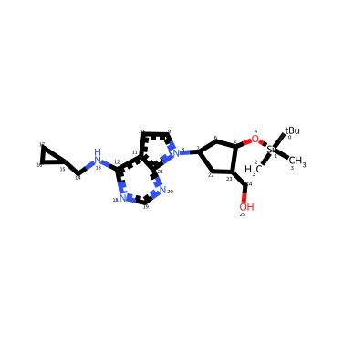 CC(C)(C)[Si](C)(C)OC1CC(n2ccc3c(NCC4CC4)ncnc32)CC1CO